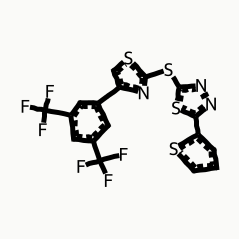 FC(F)(F)c1cc(-c2csc(Sc3nnc(-c4cccs4)s3)n2)cc(C(F)(F)F)c1